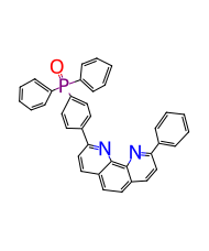 O=P(c1ccccc1)(c1ccccc1)c1ccc(-c2ccc3ccc4ccc(-c5ccccc5)nc4c3n2)cc1